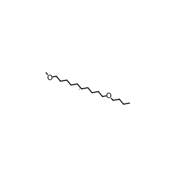 CCCCOCCCC[CH]CCCCCOC